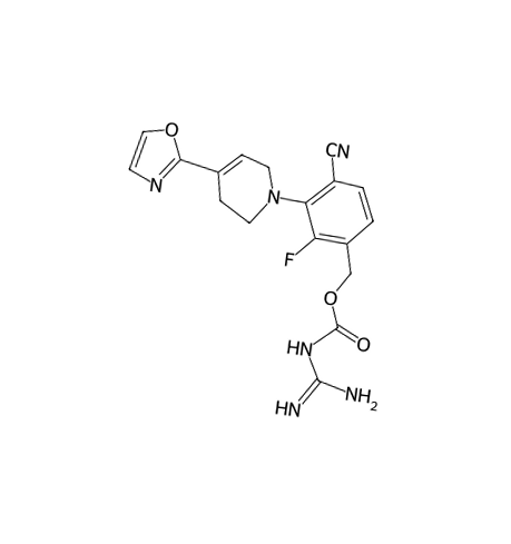 N#Cc1ccc(COC(=O)NC(=N)N)c(F)c1N1CC=C(c2ncco2)CC1